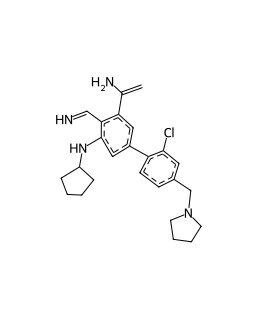 C=C(N)c1cc(-c2ccc(CN3CCCC3)cc2Cl)cc(NC2CCCC2)c1C=N